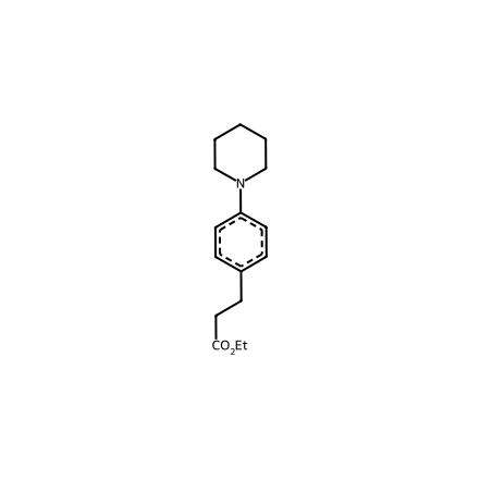 CCOC(=O)CCc1ccc(N2CCCCC2)cc1